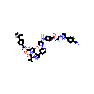 Cc1ncsc1-c1ccc([C@H](C)NC(=O)C2C[C@@H](O)CN2C(=O)[C@H](C(C)C)n2cc(-c3ccnc(N4CCC(Nc5ccc(C(=O)N[C@@H](C)Cn6ccc(-c7ccc(C#N)c(Cl)c7)n6)cc5)C4)c3)cn2)cc1